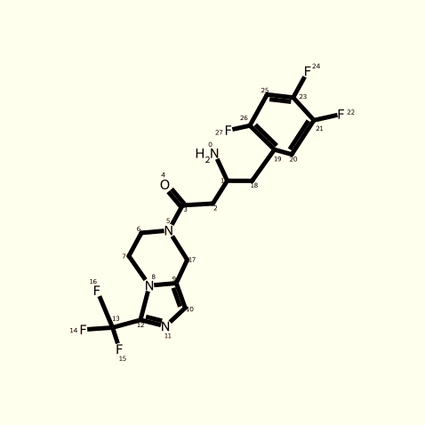 NC(CC(=O)N1CCn2c(cnc2C(F)(F)F)C1)Cc1cc(F)c(F)cc1F